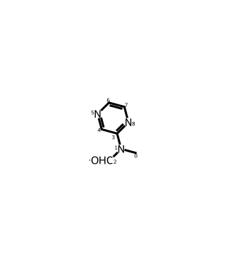 CN([C]=O)c1cnccn1